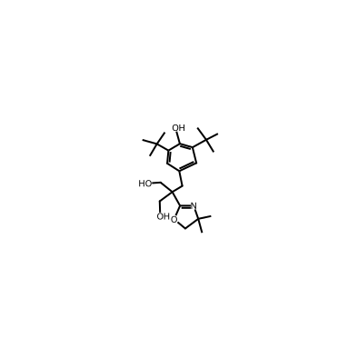 CC1(C)COC(C(CO)(CO)Cc2cc(C(C)(C)C)c(O)c(C(C)(C)C)c2)=N1